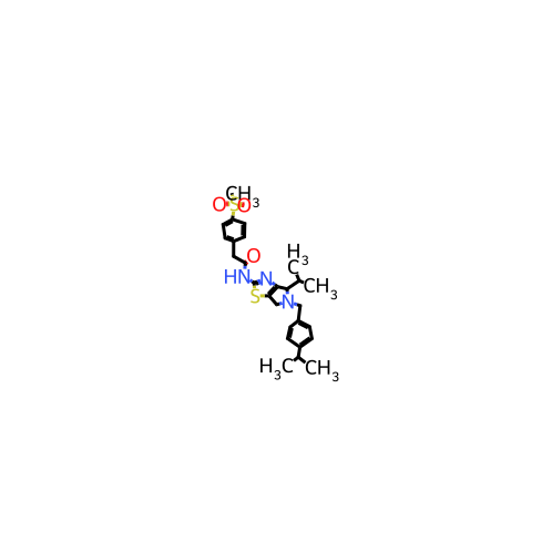 CC(C)c1ccc(CN2Cc3sc(NC(=O)Cc4ccc(S(C)(=O)=O)cc4)nc3C2C(C)C)cc1